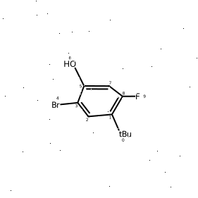 CC(C)(C)c1cc(Br)c(O)cc1F